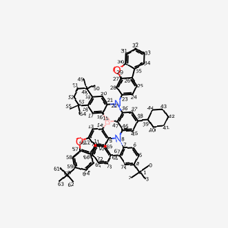 CC(C)(C)c1ccc(N2c3cc4c(cc3B3c5cc6c(cc5N(c5ccc7c(c5)oc5ccccc57)c5cc(C7CCCCC7)cc2c53)C(C)(C)CCC6(C)C)oc2cc(C(C)(C)C)ccc24)c(-c2ccccc2)c1